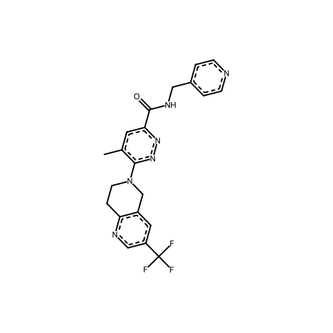 Cc1cc(C(=O)NCc2ccncc2)nnc1N1CCc2ncc(C(F)(F)F)cc2C1